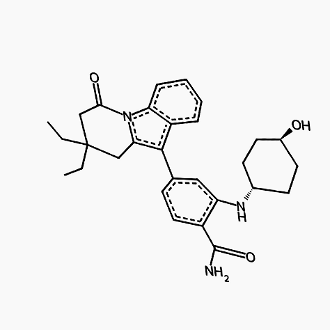 CCC1(CC)CC(=O)n2c(c(-c3ccc(C(N)=O)c(N[C@H]4CC[C@H](O)CC4)c3)c3ccccc32)C1